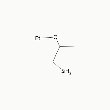 CCOC(C)C[SiH3]